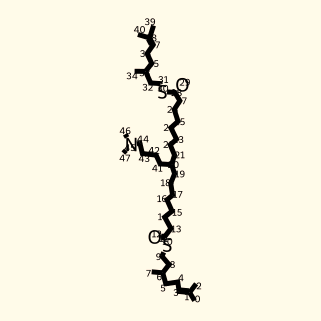 CC(C)=CCCC(C)CCSC(=O)CCCCCCCC(CCCCCCCC(=O)SCCC(C)CCC=C(C)C)CCCCN(C)C